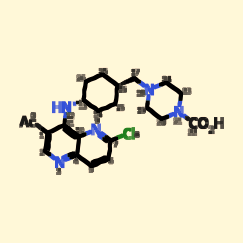 CC(=O)c1cnc2ccc(Cl)nc2c1N[C@H]1CC[C@H](CN2CCN(C(=O)O)CC2)CC1